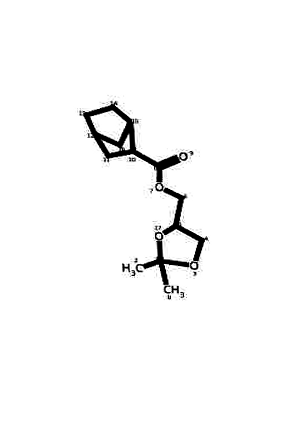 CC1(C)OCC(COC(=O)C2CC3CCC2C3)O1